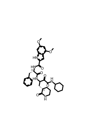 COc1cc(OC)c2cc(C(=O)N[C@@H](Cc3ccccc3)C(=O)NC(C[C@@H]3CCCNC3=O)C(=O)C(=O)NC3CCCCC3)[nH]c2c1